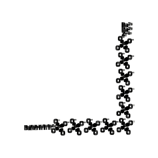 O=P([O-])([O-])[O-].O=P([O-])([O-])[O-].O=P([O-])([O-])[O-].O=P([O-])([O-])[O-].O=P([O-])([O-])[O-].O=P([O-])([O-])[O-].O=P([O-])([O-])[O-].O=P([O-])([O-])[O-].O=P([O-])([O-])[O-].O=P([O-])([O-])[O-].[Ba+2].[Ba+2].[Ba+2].[Ti+4].[Ti+4].[Ti+4].[Zr+4].[Zr+4].[Zr+4]